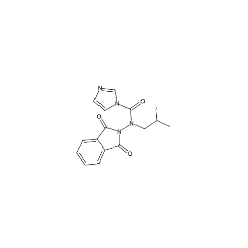 CC(C)CN(C(=O)n1ccnc1)N1C(=O)c2ccccc2C1=O